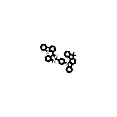 CC1(C)c2ccccc2-c2c1ccc1c3ccccc3n(-c3ccc(-c4nc(-c5cccc6c5sc5ccccc56)c5ccccc5n4)cc3)c21